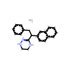 Cl.c1ccc(CC(C2=NNCCN2)c2ccc3ccccc3c2)cc1